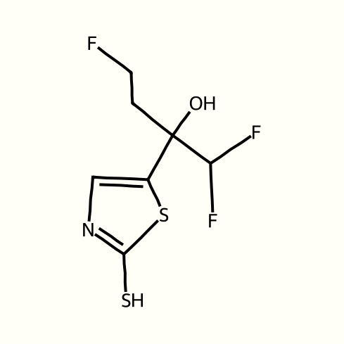 OC(CCF)(c1cnc(S)s1)C(F)F